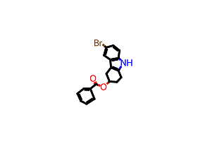 O=C(OC1CCc2[nH]c3ccc(Br)cc3c2C1)c1ccccc1